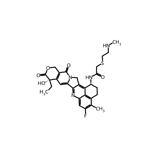 CC[C@@]1(O)C(=O)OCc2c1cc1n(c2=O)Cc2c-1nc1cc(F)c(C)c3c1c2[C@@H](NC(=O)CSCCNC)CC3